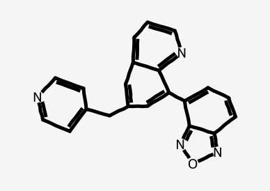 c1cnc2c(-c3cccc4nonc34)cc(Cc3ccncc3)cc2c1